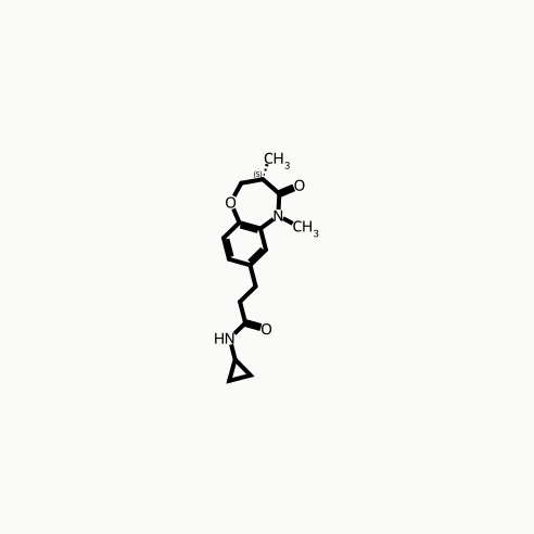 C[C@H]1COc2ccc(CCC(=O)NC3CC3)cc2N(C)C1=O